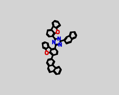 c1ccc2cc(-c3nc(-c4cccc5c4oc4ccccc45)nc(-c4ccc(-c5ccc6ccc7ccccc7c6c5)c5oc6ccccc6c45)n3)ccc2c1